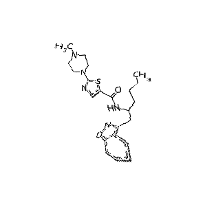 CCCCC(Cc1noc2ccccc12)NC(=O)c1cnc(N2CCN(C)CC2)s1